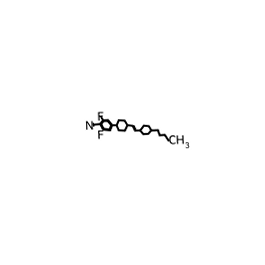 CCCCCC1CCC(/C=C/C2CCC(c3cc(F)c(C#N)c(F)c3)CC2)CC1